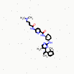 C/C=C(\c1ccccc1C)c1nc(N[C@@H]2CCC[C@H](NC(=O)c3ccc(NC(=O)/C=C/CN(C)C)cn3)C2)ncc1C